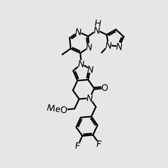 COCC1Cc2cn(-c3nc(Nc4ccnn4C)ncc3C)nc2C(=O)N1Cc1ccc(F)c(F)c1